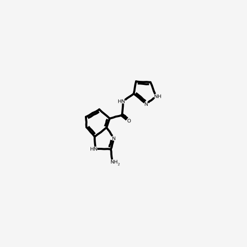 Nc1nc2c(C(=O)Nc3cc[nH]n3)cccc2[nH]1